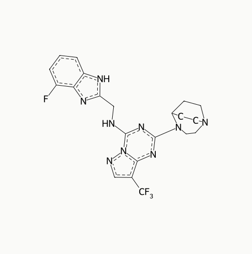 Fc1cccc2[nH]c(CNc3nc(N4CCN5CCC4CC5)nc4c(C(F)(F)F)cnn34)nc12